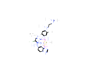 CCc1cc(Nc2ncc(Cl)c(Nc3ccc4nccnc4c3NS(C)(=O)=O)n2)c(OC)cc1N(C)CCCN(C)C